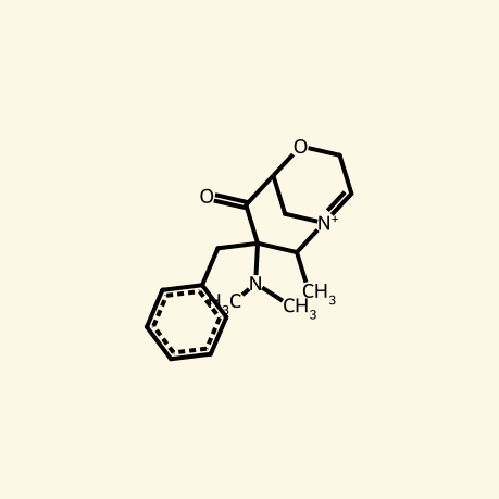 CC1[N+]2=CCOC(C2)C(=O)C1(Cc1ccccc1)N(C)C